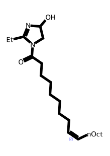 CCCCCCCC/C=C\CCCCCCCC(=O)N1CC(O)N=C1CC